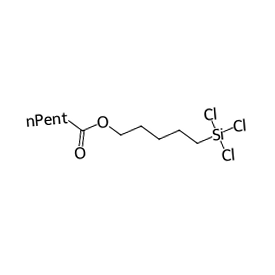 CCCCCC(=O)OCCCCC[Si](Cl)(Cl)Cl